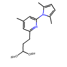 COC(CCc1cc(C)cc(-n2c(C)ccc2C)n1)OC